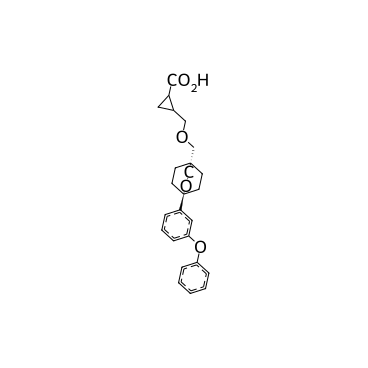 O=C(O)C1CC1COC[C@]12CC[C@@](c3cccc(Oc4ccccc4)c3)(CC1)OC2